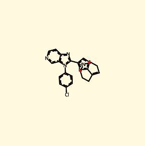 Clc1ccc(-n2c(-c3csc(/C4=C\CCNCCC4)n3)nc3ccncc32)cc1